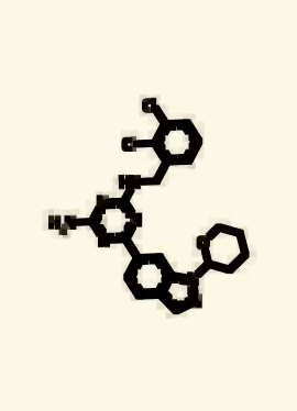 Nc1nc(NCc2cccc(Cl)c2Cl)nc(-c2ccc3cnn(C4CCCCO4)c3c2)n1